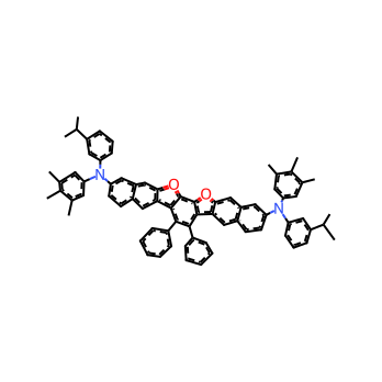 Cc1cc(N(c2cccc(C(C)C)c2)c2ccc3cc4c(cc3c2)oc2c3oc5cc6cc(N(c7cccc(C(C)C)c7)c7cc(C)c(C)c(C)c7)ccc6cc5c3c(-c3ccccc3)c(-c3ccccc3)c42)cc(C)c1C